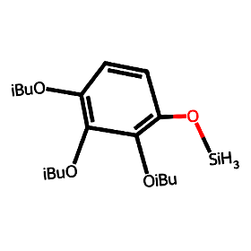 CC(C)COc1ccc(O[SiH3])c(OCC(C)C)c1OCC(C)C